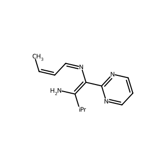 C\C=C/C=N\C(=C(/N)C(C)C)c1ncccn1